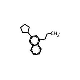 [CH2]CCc1cc(C2CCCC2)cc2ccccc12